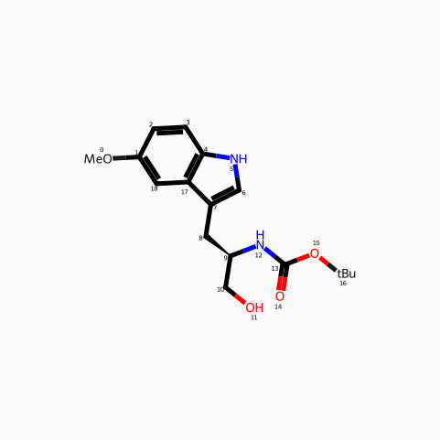 COc1ccc2[nH]cc(C[C@H](CO)NC(=O)OC(C)(C)C)c2c1